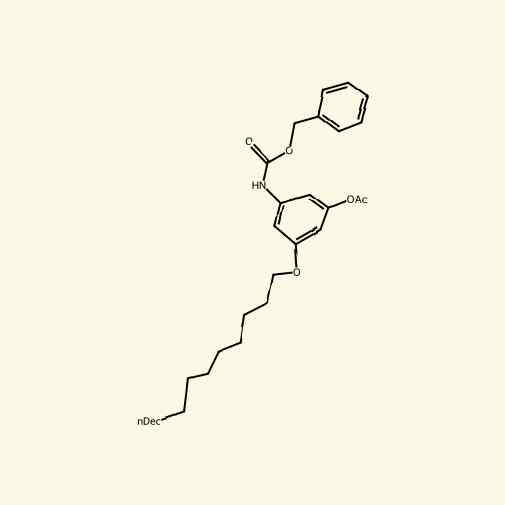 CCCCCCCCCCCCCCCCCCOc1cc(NC(=O)OCc2ccccc2)cc(OC(C)=O)c1